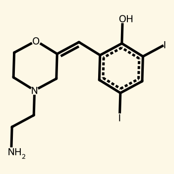 NCCN1CCOC(=Cc2cc(I)cc(I)c2O)C1